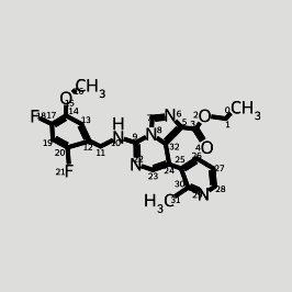 CCOC(=O)c1ncn2c(NCc3cc(OC)c(F)cc3F)ncc(-c3cccnc3C)c12